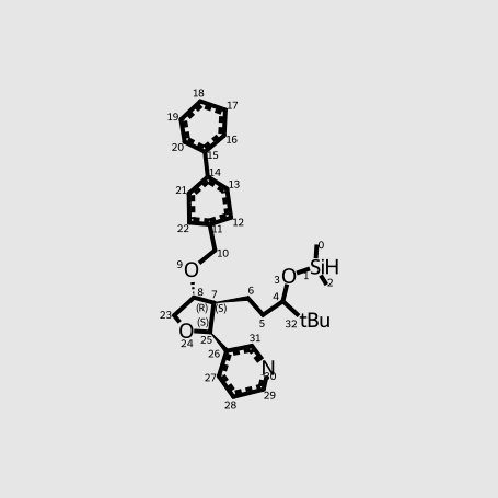 C[SiH](C)OC(CC[C@@H]1[C@@H](OCc2ccc(-c3ccccc3)cc2)CO[C@@H]1c1cccnc1)C(C)(C)C